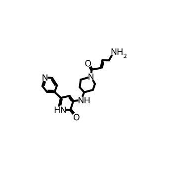 NCC=CC(=O)N1CCC(Nc2cc(-c3ccncc3)c[nH]c2=O)CC1